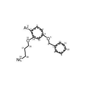 CC(=O)c1ccc(OCc2ccccc2)cc1OCCCC#N